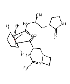 N#C[C@@H](C[C@@H]1CCNC1=O)NC(=O)[C@@H]1[C@@H]2CC[C@@H](CC2(F)F)N1C(=O)[C@@H](CC1CCC1)NC(=O)C(F)(F)F